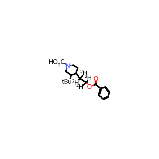 [2H]C([2H])(OC(=O)c1ccccc1)C([2H])([2H])C1CCN(C(=O)O)CC1C(C)(C)C